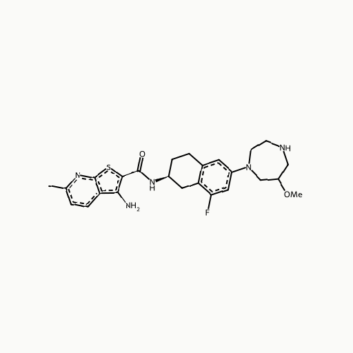 COC1CNCCN(c2cc(F)c3c(c2)CC[C@H](NC(=O)c2sc4nc(C)ccc4c2N)C3)C1